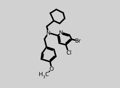 COc1ccc(CN(CC2CCCCC2)c2cc(Cl)c(Br)cn2)cc1